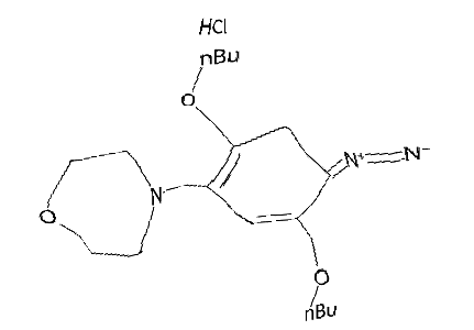 CCCCOC1=CC(N2CCOCC2)=C(OCCCC)CC1=[N+]=[N-].Cl